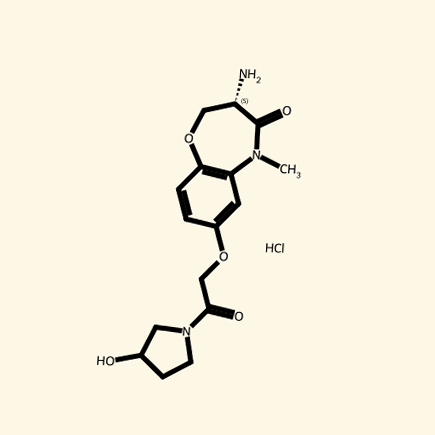 CN1C(=O)[C@@H](N)COc2ccc(OCC(=O)N3CCC(O)C3)cc21.Cl